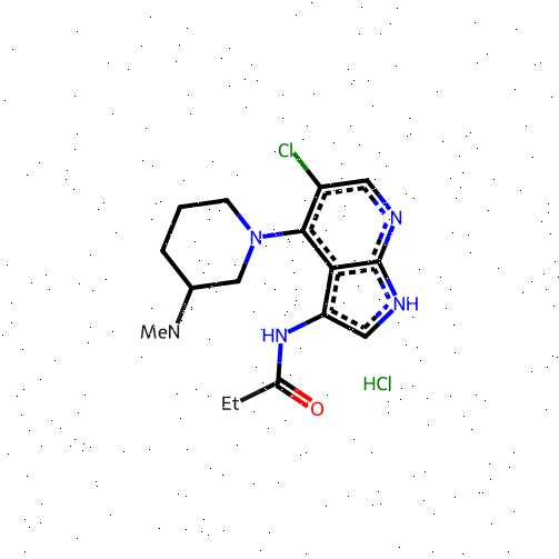 CCC(=O)Nc1c[nH]c2ncc(Cl)c(N3CCCC(NC)C3)c12.Cl